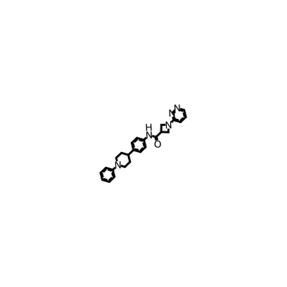 O=C(Nc1ccc(C2CCN(c3ccccc3)CC2)cc1)C1CN(c2cccnn2)C1